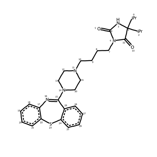 CC(C)C1(C(C)C)NC(=O)N(CCCCN2CCN(C3=Nc4ccccc4Sc4ccccc43)CC2)C1=O